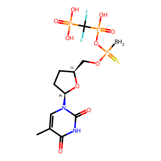 BP(=S)(OC[C@@H]1CC[C@H](n2cc(C)c(=O)[nH]c2=O)O1)OP(=O)(O)C(F)(F)P(=O)(O)O